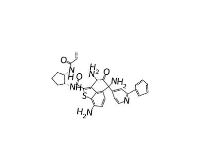 C=CC(=O)N[C@H]1CCC[C@H]1NC(=O)c1sc2c(N)ccc3c2c1C(N)C(=O)C3(N)c1ccnc(-c2ccccc2)c1